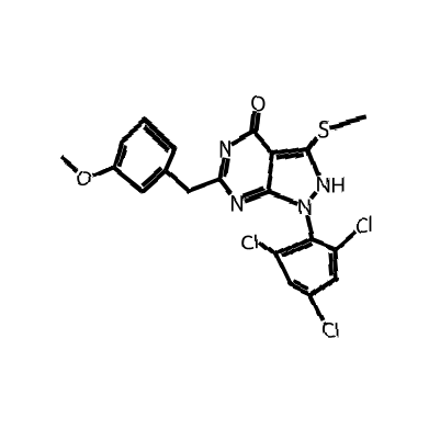 COc1cccc(Cc2nc3n(-c4c(Cl)cc(Cl)cc4Cl)[nH]c(SC)c-3c(=O)n2)c1